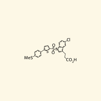 CSc1ccc(-c2ccc(S(=O)(=O)n3cc(CCC(=O)O)c4cc(Cl)ccc43)s2)cc1